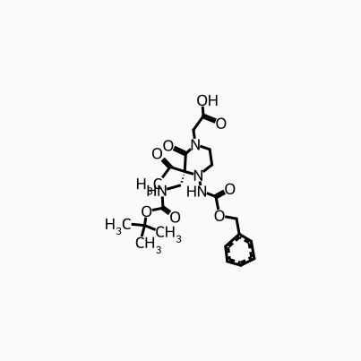 CC(=O)[C@@]1(CNC(=O)OC(C)(C)C)C(=O)N(CC(=O)O)CCN1NC(=O)OCc1ccccc1